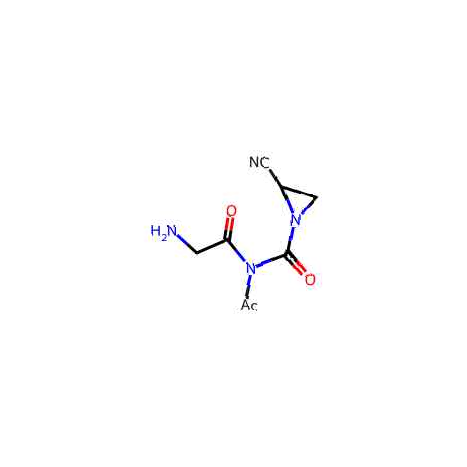 CC(=O)N(C(=O)CN)C(=O)N1CC1C#N